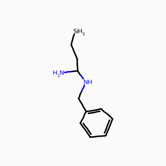 NC(CC[SiH3])NCc1ccccc1